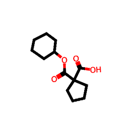 O=C(O)C1(C(=O)OC2CCCCC2)CCCC1